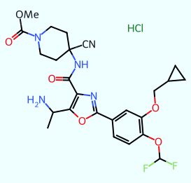 COC(=O)N1CCC(C#N)(NC(=O)c2nc(-c3ccc(OC(F)F)c(OCC4CC4)c3)oc2C(C)N)CC1.Cl